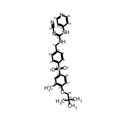 Cc1cc(S(=O)(=O)c2ccc(CNC(=NC#N)Nc3ccncc3)cc2)ccc1OCC(C)(C)C